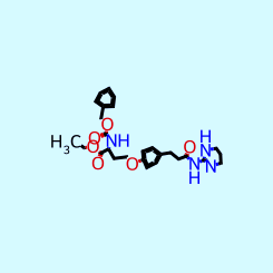 CCOC(=O)C(CCOc1ccc(CCC(=O)NC2=NCCCN2)cc1)NC(=O)OCc1ccccc1